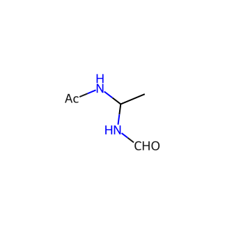 CC(=O)NC(C)NC=O